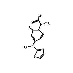 CC(C(=O)O)c1ccc(N(C)c2nccs2)cc1F